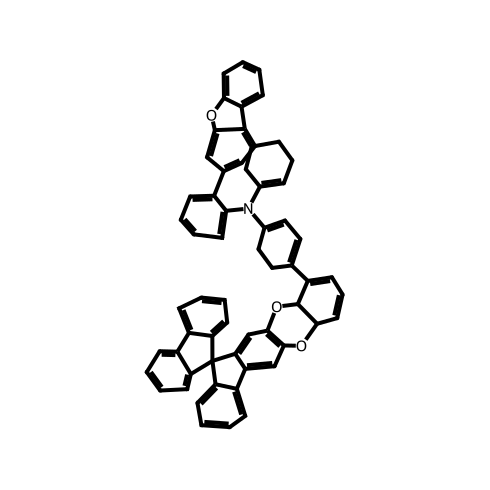 C1=CC2Oc3cc4c(cc3OC2C(C2=CC=C(N(C3=CCCCC3)c3ccccc3-c3ccc5c(c3)oc3ccccc35)CC2)=C1)C1(c2ccccc2-c2ccccc21)c1ccccc1-4